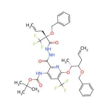 C=CCC(OCc1ccccc1)[C@@H](C)Oc1nc(C(=O)NNC(=O)[C@@](CC=C)(OCc2ccccc2)C(F)(F)F)c(NC(=O)OC(C)(C)C)cc1C(F)(F)F